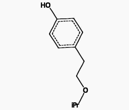 CC(C)OCCc1ccc(O)cc1